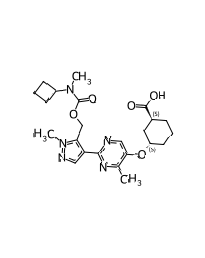 Cc1nc(-c2cnn(C)c2COC(=O)N(C)C2CCC2)ncc1O[C@H]1CCC[C@H](C(=O)O)C1